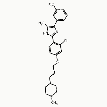 Cc1[nH]c(-c2ccc(OCCCC3CCN(C)CC3)cc2Cl)nc1-c1cccc(C(F)(F)F)c1